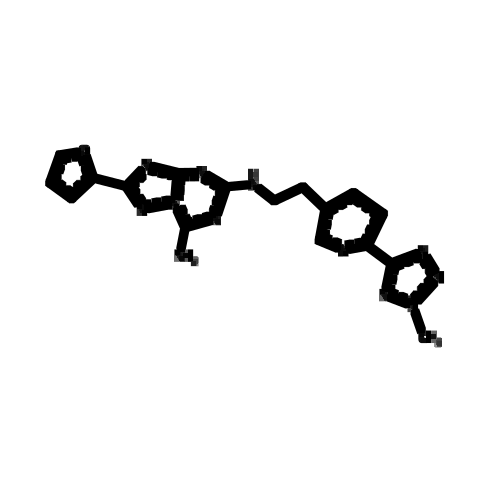 Cn1nnc(-c2ccc(CCNc3nc(N)n4nc(-c5ccco5)nc4n3)cn2)n1